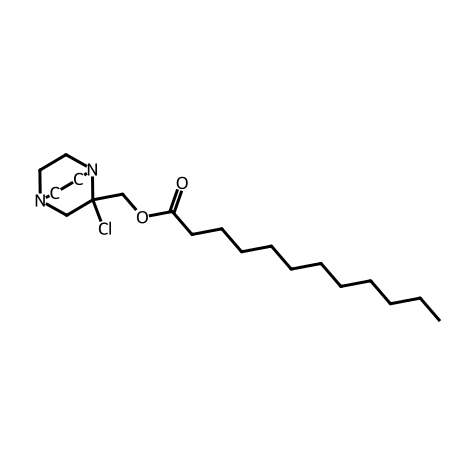 CCCCCCCCCCCC(=O)OCC1(Cl)CN2CCN1CC2